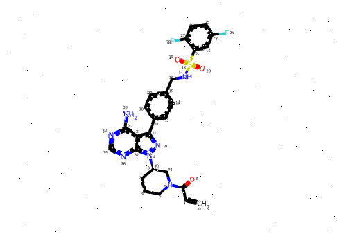 C=CC(=O)N1CCC[C@@H](n2nc(-c3ccc(CNS(=O)(=O)c4cc(F)ccc4F)cc3)c3c(N)ncnc32)C1